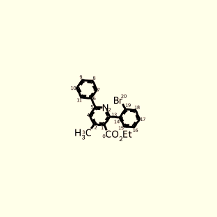 CCOC(=O)c1c(C)cc(-c2ccccc2)nc1-c1ccccc1Br